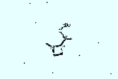 C[C@H](OC(C)(C)C)[C@@H]1CCN1C